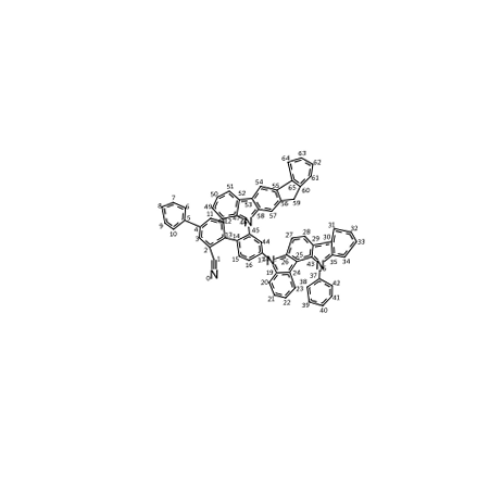 N#Cc1cc(-c2ccccc2)ccc1-c1ccc(-n2c3ccccc3c3c2ccc2c4ccccc4n(-c4ccccc4)c23)cc1-n1c2ccccc2c2cc3c(cc21)Cc1ccccc1-3